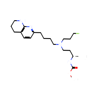 CC(C)(C)OC(=O)N[C@@H](CCN(CCCF)CCCCc1ccc2c(n1)NCCC2)C(=O)O